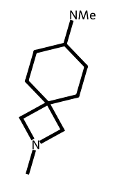 CNC1CCC2(CC1)CN(C)C2